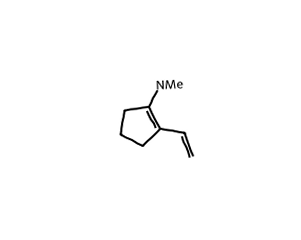 C=CC1=C(NC)CCC1